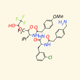 COc1ccc([C@H](NC(=O)[C@H](Cc2cccc(Cl)c2)NC(=O)Cc2ccc(CN)cc2)C(=O)N[C@H](C(=O)C(F)(F)F)C(C)C)cc1.O=C(O)C(F)(F)F